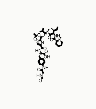 CC[C@H](C)[C@H](NC(=O)[C@H]1CCCCN1C)C(=O)N(C)[C@H](C[C@@H](OC(C)=O)c1nc(C(=O)N[C@@H](Cc2ccc(NC(=O)CNC=O)cc2)C(=O)O)cs1)C(C)C